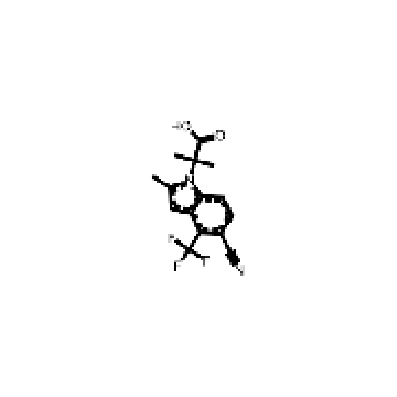 Cc1cc2c(C(F)(F)F)c(C#N)ccc2n1C(C)(C)C(=O)O